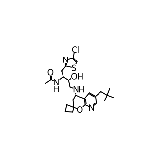 CC(=O)N[C@@H](Cc1nc(Cl)cs1)[C@@H](O)CN[C@H]1CC2(CCC2)Oc2ncc(CC(C)(C)C)cc21